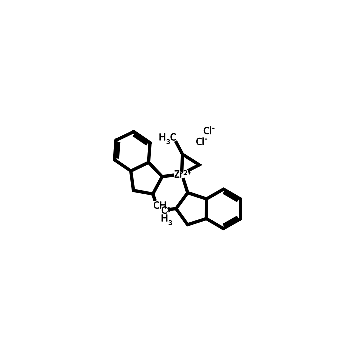 CC1CC2C=CC=CC2[CH]1[Zr+2]1([CH]2C(C)CC3C=CC=CC32)[CH2][CH]1C.[Cl-].[Cl-]